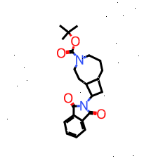 CC(C)(C)OC(=O)N1CCCC2CC(N3C(=O)c4ccccc4C3=O)C2CC1